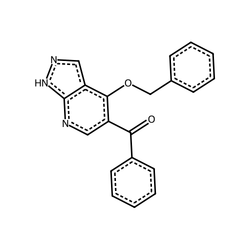 O=C(c1ccccc1)c1cnc2[nH]ncc2c1OCc1ccccc1